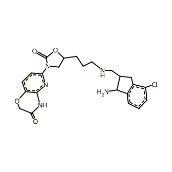 NC1c2cccc(Cl)c2CC1CNCCCC1CN(c2ccc3c(n2)NC(=O)CO3)C(=O)O1